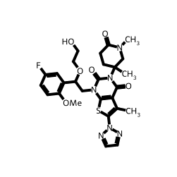 COc1ccc(F)cc1C(Cn1c(=O)n(C2(C)CCC(=O)N(C)C2)c(=O)c2c(C)c(-n3nccn3)sc21)OCCO